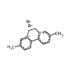 Cc1ccc2[n+](c1)CC[n+]1cc(C)ccc1-2.[Br-].[Br-]